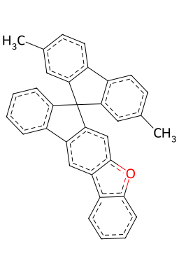 Cc1ccc2c(c1)C1(c3ccccc3-c3cc4c(cc31)oc1ccccc14)c1cc(C)ccc1-2